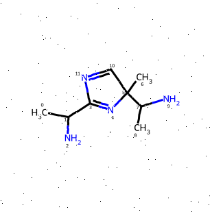 CC(N)C1=NC(C)(C(C)N)C=N1